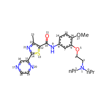 CCCN(CCC)CCOc1cc(NC(=O)c2sc(-c3cnccn3)nc2C)ccc1OC